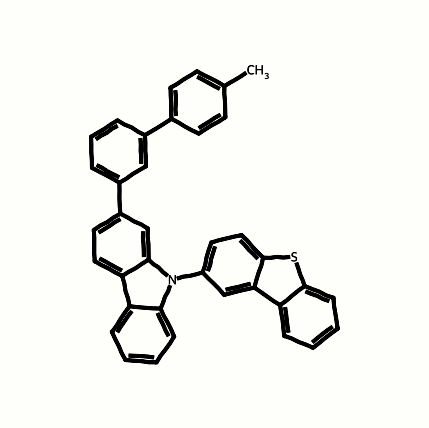 Cc1ccc(-c2cccc(-c3ccc4c5ccccc5n(-c5ccc6sc7ccccc7c6c5)c4c3)c2)cc1